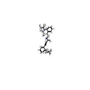 CNC(=O)/C(=N/OC)c1ccccc1CO/N=C(\C)C#Cc1ccccc1OC(F)(F)F